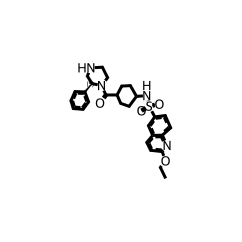 CCOc1ccc2cc(S(=O)(=O)NC3CCC(C(=O)N4CCNC[C@@H]4c4ccccc4)CC3)ccc2n1